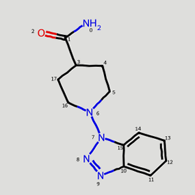 NC(=O)C1CCN(n2nnc3ccccc32)CC1